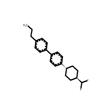 CCCc1ccc(-c2ccc([C@H]3CC[C@H](C(F)F)CC3)cc2)cc1